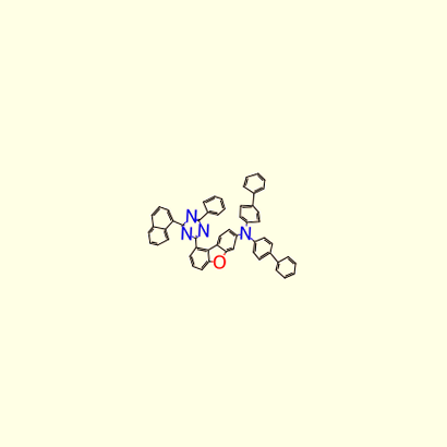 c1ccc(-c2ccc(N(c3ccc(-c4ccccc4)cc3)c3ccc4c(c3)oc3cccc(-c5nc(-c6ccccc6)nc(-c6cccc7ccccc67)n5)c34)cc2)cc1